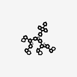 c1ccc(-c2c3ccccc3c(-c3ccc(-n4c5ccc(-c6cc(-c7cccc8c7CCCC8)cc7c6sc6ccc(-c8cccc9c8CCCC9)cc67)cc5c5cc(-c6cc(-c7cccc8c7CCCC8)cc7c6sc6ccc(-c8cccc9c8CCCC9)cc67)ccc54)cc3)c3ccccc23)cc1